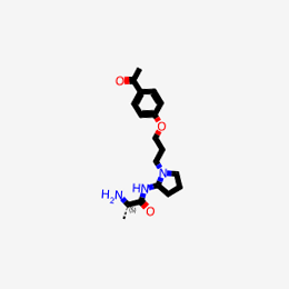 CC(=O)c1ccc(OCCCN2CCCC2NC(=O)[C@H](C)N)cc1